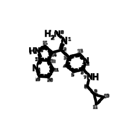 N/N=C(/c1ccc(NCC2CC2)nc1)c1c[nH]c2ncccc12